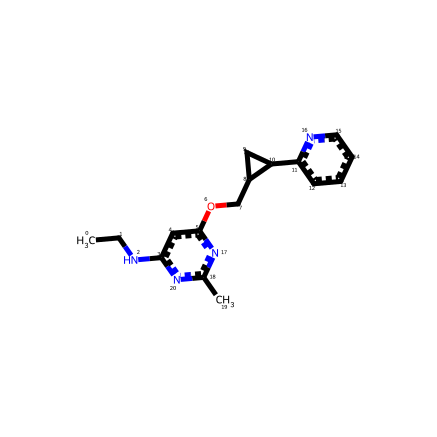 CCNc1cc(OCC2CC2c2ccccn2)nc(C)n1